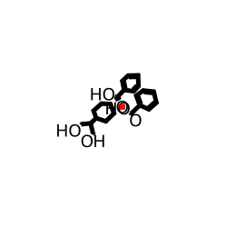 O=C(O)c1ccccc1.O=C(O)c1ccccc1.OCC(CO)C1CCCCC1